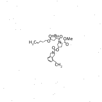 C=CCCCOC(=O)C[C@@H](CCCC)C(=O)N1C[C@H](OC(=O)N2Cc3cccc(C=C)c3C2)C[C@H]1C(=O)OC